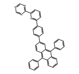 c1ccc(-c2c3ccccc3c(-c3ccccc3)c3cc(-c4ccc(-c5cccc(-c6ncncn6)n5)cc4)ccc23)cc1